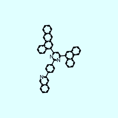 c1ccc2cc(-c3ccc(-c4nc(-c5cc6ccccc6c6ccccc56)cc(-c5cc6cc7ccccc7cc6c6ccccc56)n4)cc3)ncc2c1